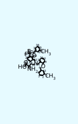 Cc1cccc(COc2ccccc2CN(CC[C@H](N)C(=O)O)Cc2cccc(C(F)(F)F)c2OCc2cccc(C)c2)c1